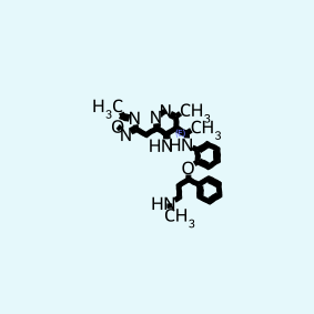 CNCCC(Oc1ccccc1N/C(C)=C1\C(=N)C(Cc2noc(C)n2)=NN=C1C)c1ccccc1